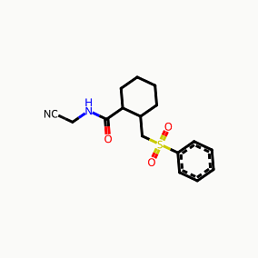 N#CCNC(=O)C1CCCCC1CS(=O)(=O)c1ccccc1